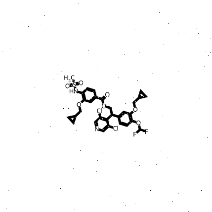 CS(=O)(=O)Nc1ccc(C(=O)OCC(c2ccc(OC(F)F)c(OCC3CC3)c2)c2c(Cl)cncc2Cl)cc1OCC1CC1